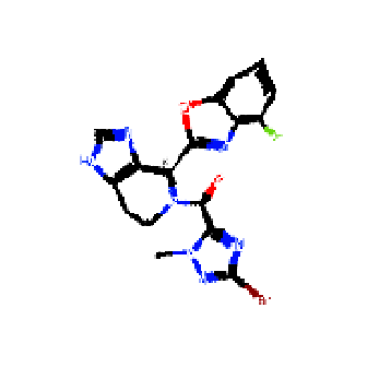 Cn1nc(Br)nc1C(=O)N1CCc2[nH]cnc2[C@H]1c1nc2c(F)cccc2o1